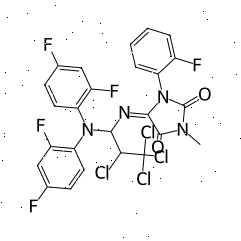 CN1C(=O)C(=NC(C(Cl)C(Cl)(Cl)Cl)N(c2ccc(F)cc2F)c2ccc(F)cc2F)N(c2ccccc2F)C1=O